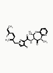 C=C(/C=C\C(F)=C/C)Cn1cc(F)c(C(=O)N[C@@H]2C(=O)N(C)c3ncccc3O[C@@H]2C)n1